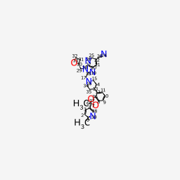 Cc1ccc([C@@]2(C)Oc3cccc(C4CCN(Cc5nc6cc(C#N)cnc6n5C[C@@H]5CCO5)CC4)c3O2)cn1